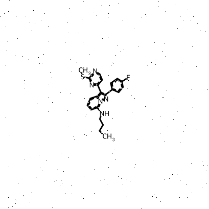 CCCCNc1cccc2c(-c3ccnc(SC)n3)c(-c3ccc(F)cc3)nn12